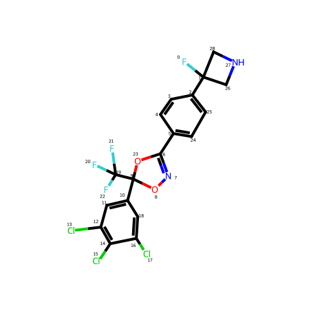 FC1(c2ccc(C3=NOC(c4cc(Cl)c(Cl)c(Cl)c4)(C(F)(F)F)O3)cc2)CNC1